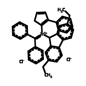 CCc1ccc2c(c1)[CH]([Zr+2]([C]1=C(c3ccccc3)C=CC1)=[C](c1ccccc1)c1ccccc1)c1cc(CC)ccc1-2.[Cl-].[Cl-]